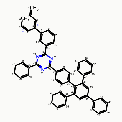 C=C/C=C(\C=C/C)c1cccc(-c2nc(C3=CCCC=C3)nc(-c3ccc(-c4c(C5=CCCC=C5)cc(-c5ccccc5)cc4-c4ccccc4)cc3)n2)c1